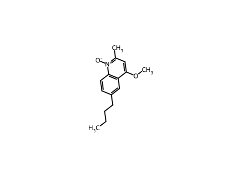 CCCCc1ccc2c(c1)c(OC)cc(C)[n+]2[O-]